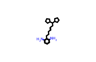 Nc1cccc(N)c1CCCC=CCC(C1CCCC1)C1CCCC1